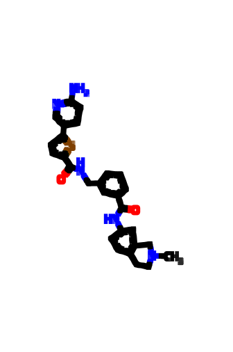 CN1CCc2ccc(NC(=O)c3cccc(CNC(=O)c4ccc(-c5ccc(N)nc5)s4)c3)cc2C1